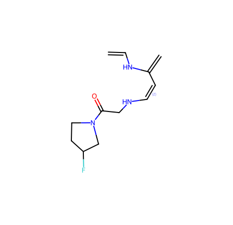 C=CNC(=C)/C=C\NCC(=O)N1CCC(F)C1